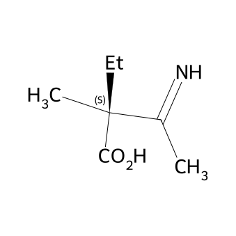 CC[C@@](C)(C(C)=N)C(=O)O